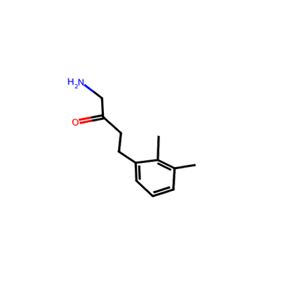 Cc1cccc(CCC(=O)CN)c1C